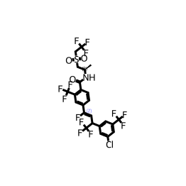 C[C@H](CS(=O)(=O)CC(F)(F)F)NC(=O)c1ccc(/C(F)=C/C(c2cc(Cl)cc(C(F)(F)F)c2)C(F)(F)F)cc1C(F)(F)F